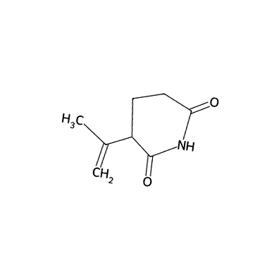 C=C(C)C1CCC(=O)NC1=O